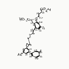 CC(=O)c1cc(OCCCCCCc2cccc(OCCCC(=O)O)c2CCC(=O)O)cc(-c2cccc(F)c2)c1